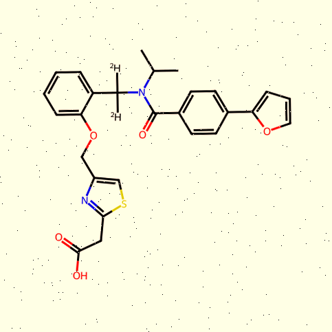 [2H]C([2H])(c1ccccc1OCc1csc(CC(=O)O)n1)N(C(=O)c1ccc(-c2ccco2)cc1)C(C)C